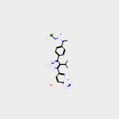 COc1cc(-c2[nH]nc(-c3ccc(C(C)N(C)CC(F)(F)F)cc3)c2C(C)C)cn2ncnc12